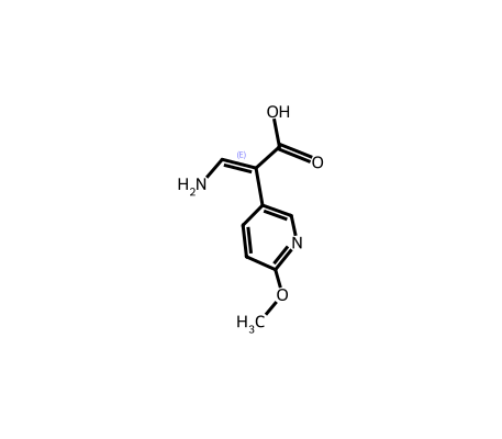 COc1ccc(/C(=C\N)C(=O)O)cn1